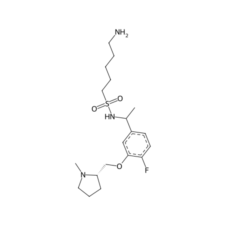 CC(NS(=O)(=O)CCCCCN)c1ccc(F)c(OC[C@@H]2CCCN2C)c1